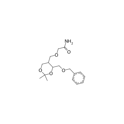 CC1(C)OCC(COCC(N)=O)C(COCc2ccccc2)O1